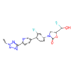 C=Cn1nnc(-c2ccc(-c3ccc(N4CC(C(O)F)OC4=O)cc3F)cn2)n1